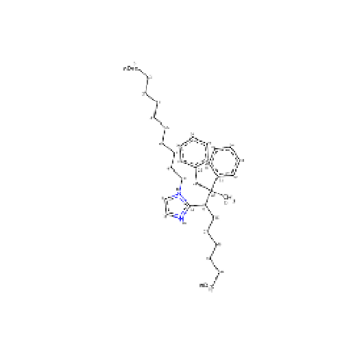 CCCCCCCCCCCCCCCCCCCn1ccnc1C(CCCCCCCCCCCCCCC)C(C)(Cc1ccccc1)c1ccccc1